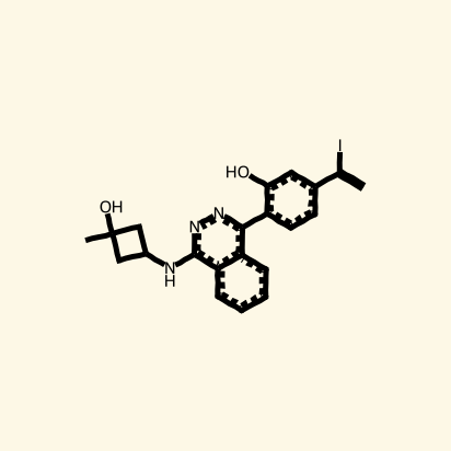 C=C(I)c1ccc(-c2nnc(NC3CC(C)(O)C3)c3ccccc23)c(O)c1